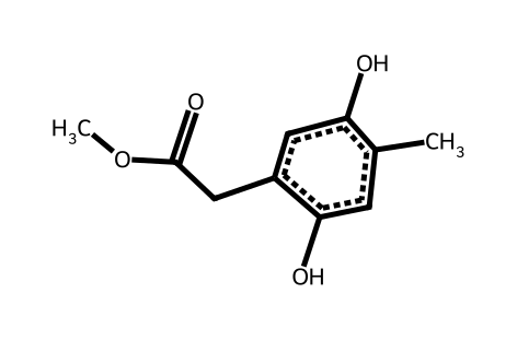 COC(=O)Cc1cc(O)c(C)cc1O